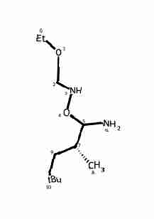 CCOCNOC(N)[C@H](C)CC(C)(C)C